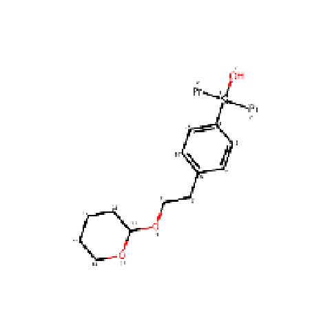 CC(C)[Si](O)(c1ccc(CCOC2CCCCO2)cc1)C(C)C